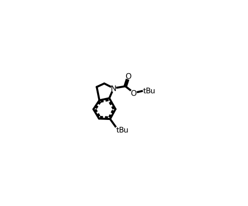 CC(C)(C)OC(=O)N1CCc2ccc(C(C)(C)C)cc21